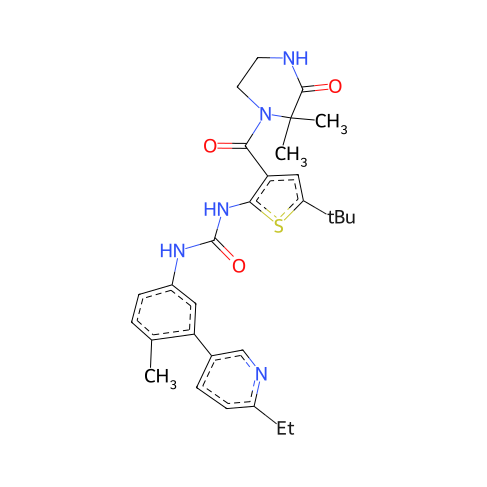 CCc1ccc(-c2cc(NC(=O)Nc3sc(C(C)(C)C)cc3C(=O)N3CCNC(=O)C3(C)C)ccc2C)cn1